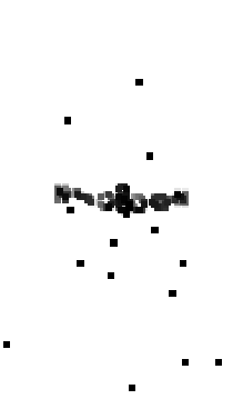 N#CC=CC=C[C@H]1CC[C@H](C(=O)O[C@H]2CC[C@H](c3ccc(C#N)cc3)CC2)CC1